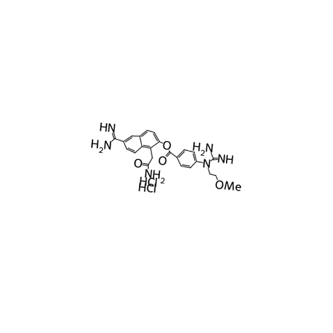 COCCN(C(=N)N)c1ccc(C(=O)Oc2ccc3cc(C(=N)N)ccc3c2CC(N)=O)cc1.Cl.Cl